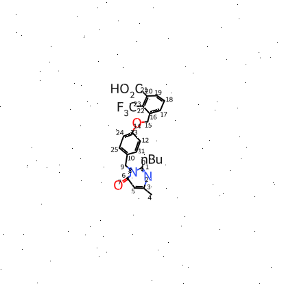 CCCCc1nc(C)cc(=O)n1Cc1ccc(OCc2cccc(C(=O)O)c2C(F)(F)F)cc1